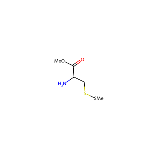 COC(=O)C(N)CSSC